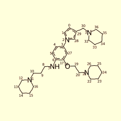 c1cn(-c2ccc(NCCCN3CCCCC3)c(OCCN3CCCCC3)c2)cc1CN1CCCCC1